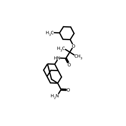 CC1CCCC(OC(C)(C)C(=O)NC2C3CC4CC2CC(C(N)=O)(C4)C3)C1